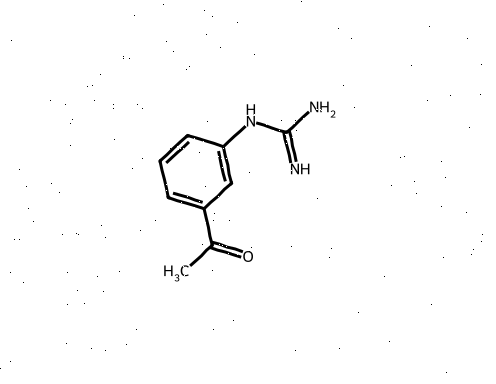 CC(=O)c1cccc(NC(=N)N)c1